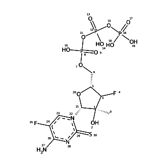 C[C@@]1(O)C(F)[C@@H](COP(=O)(O)OP(=O)(O)OP(=O)(O)O)O[C@H]1n1cc(F)c(N)nc1=S